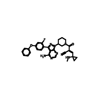 CNC1(C=C(C#N)C(=O)N2CCCC(n3nc(-c4ccc(Oc5ccccc5)cc4F)c4c(N)ncnc43)C2)CC1